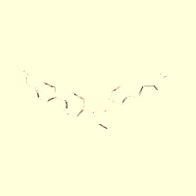 C=CC(c1ccc(-c2ccc(CN(C)C)cc2)nc1)S(=O)(=O)n1ccc(/C=C/C(=O)NO)c1